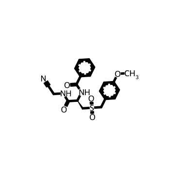 COc1ccc(CS(=O)(=O)C[C@H](NC(=O)c2ccccc2)C(=O)NCC#N)cc1